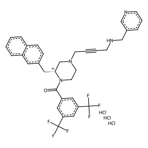 Cl.Cl.Cl.O=C(c1cc(C(F)(F)F)cc(C(F)(F)F)c1)N1CCN(CC#CCNCc2cccnc2)C[C@H]1Cc1ccc2ccccc2c1